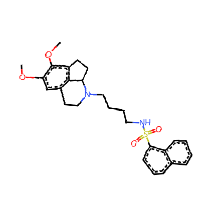 COc1cc2c3c(c1OC)CCC3N(CCCCNS(=O)(=O)c1cccc3ccccc13)CC2